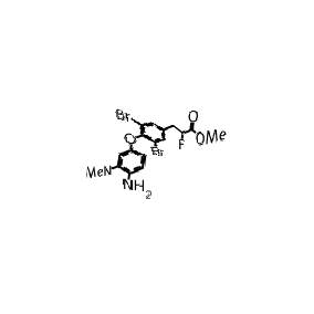 CNc1cc(Oc2c(Br)cc(CC(F)C(=O)OC)cc2Br)ccc1N